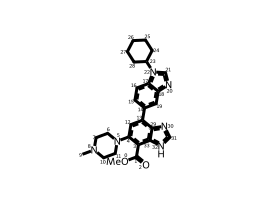 COC(=O)c1c(N2CCN(C)CC2)cc(-c2ccc3c(c2)ncn3C2CCCCC2)c2nc[nH]c12